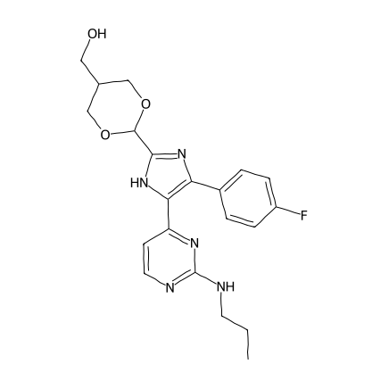 CCCNc1nccc(-c2[nH]c(C3OCC(CO)CO3)nc2-c2ccc(F)cc2)n1